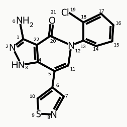 Nc1n[nH]c2c(-c3cnsc3)cn(-c3ccccc3Cl)c(=O)c12